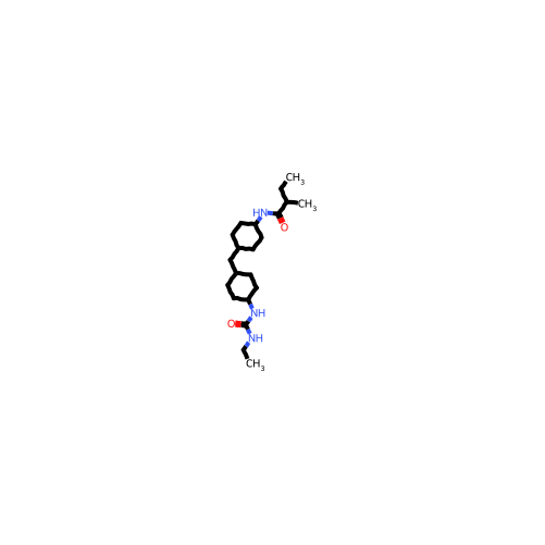 CCNC(=O)NC1CCC(CC2CCC(NC(=O)C(C)CC)CC2)CC1